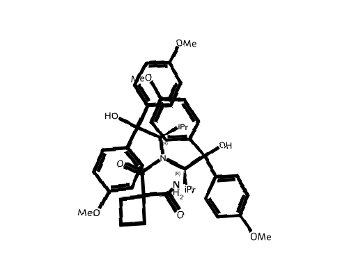 COc1ccc(C(O)(c2ccc(OC)cc2)[C@@H](C(C)C)N(C(=O)C2(C(N)=O)CCC2)[C@H](C(C)C)C(O)(c2ccc(OC)cc2)c2ccc(OC)cc2)cc1